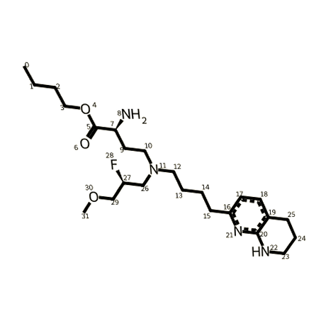 CCCCOC(=O)[C@@H](N)CCN(CCCCc1ccc2c(n1)NCCC2)C[C@H](F)COC